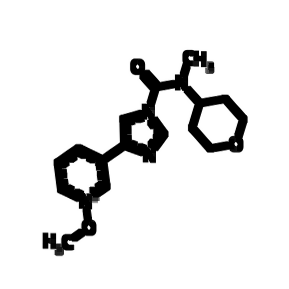 CO[n+]1cccc(-c2cn(C(=O)N(C)C3CCOCC3)cn2)c1